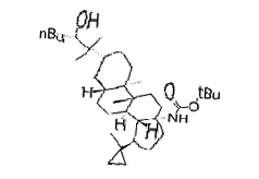 CCCC[C@H](O)C(C)(C)[C@@H]1CC[C@]2(C)[C@H](CC[C@@H]3[C@H]4[C@H](C5(C)CC5)CC[C@]4(NC(=O)OC(C)(C)C)CC[C@]32C)C1